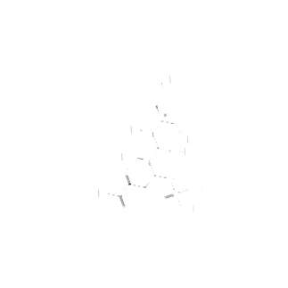 COC[C@@H](OC)[C@@H](O)[C@H](O)[C@H](O)[C@H](CC(=O)C(=O)O)OP(=O)(O)O